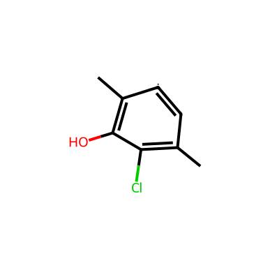 Cc1[c]cc(C)c(Cl)c1O